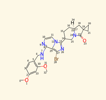 COc1ccc(CNc2nccn3c(C4CC[C@H]5CC6(CC6)C(=O)N5C4)nc(Br)c23)c(OC)c1